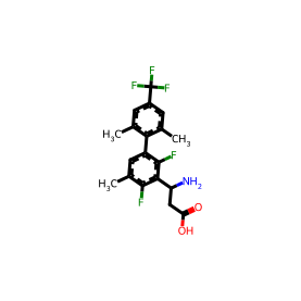 Cc1cc(-c2c(C)cc(C(F)(F)F)cc2C)c(F)c(C(N)CC(=O)O)c1F